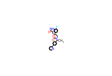 C[C@@H](c1ccc(-c2ccccn2)cc1)N1CC[C@@](CCC(N)=O)(c2ccc(F)cc2)OC1=O